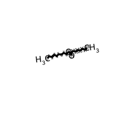 CCC=CCCCCCOC(=O)CCCCCCC